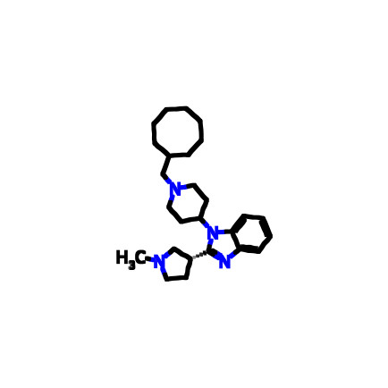 CN1CC[C@@H](c2nc3ccccc3n2C2CCN(CC3CCCCCCC3)CC2)C1